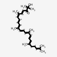 CC(C)=CCCC(C)=CC=CC(C)=CC=CC(C)=CC=CC=C(C)C=CC(=O)C(C)(C)O